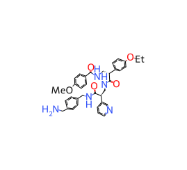 CCOc1ccc([C@@H](CNC(=O)c2ccc(OC)cc2)C(=O)NC[C@H](C(=O)NCc2ccc(CN)cc2)c2cccnc2)cc1